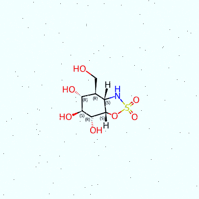 O=S1(=O)N[C@H]2[C@H](CO)[C@@H](O)[C@H](O)[C@@H](O)[C@H]2O1